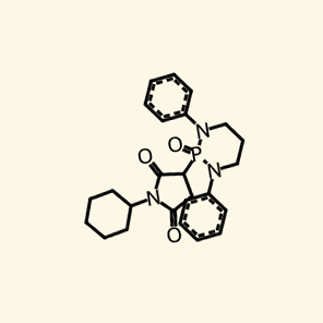 O=C1CC(P2(=O)N(c3ccccc3)CCCN2c2ccccc2)C(=O)N1C1CCCCC1